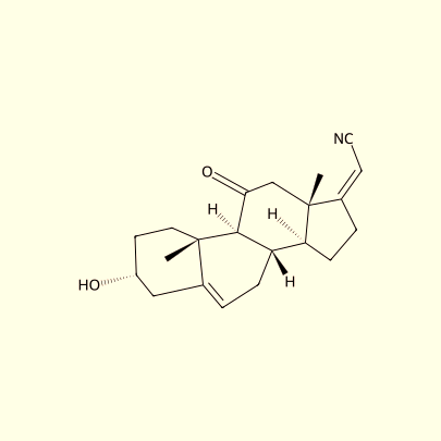 C[C@]12CC[C@@H](O)CC1=CC[C@@H]1[C@@H]2C(=O)C[C@]2(C)/C(=C\C#N)CC[C@@H]12